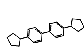 c1cc(C2CCCC2)ccc1-c1ccc(C2CCCC2)cc1